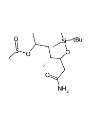 CC(C[C@@H](C)C(CC(N)=O)O[Si](C)(C)C(C)(C)C)OS(C)=O